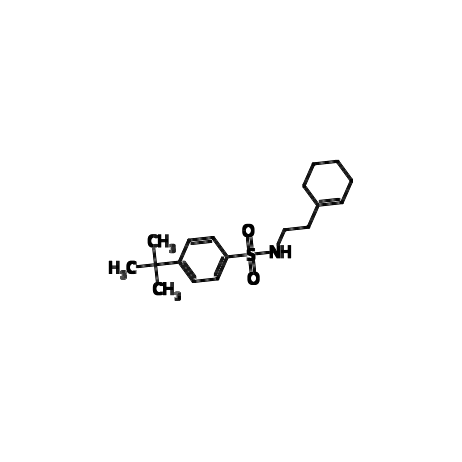 CC(C)(C)c1ccc(S(=O)(=O)NCCC2=CCCCC2)cc1